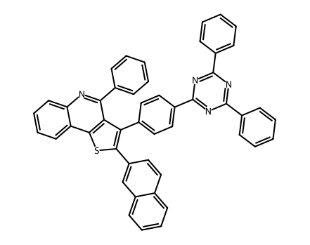 c1ccc(-c2nc(-c3ccccc3)nc(-c3ccc(-c4c(-c5ccc6ccccc6c5)sc5c4c(-c4ccccc4)nc4ccccc45)cc3)n2)cc1